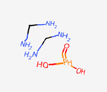 NCN.NCN.O=[PH](O)O